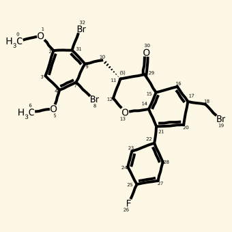 COc1cc(OC)c(Br)c(C[C@H]2COc3c(cc(CBr)cc3-c3ccc(F)cc3)C2=O)c1Br